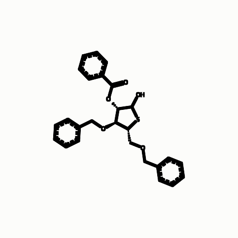 O=C(O[C@@H]1C(O)S[C@H](COCc2ccccc2)[C@H]1OCc1ccccc1)c1ccccc1